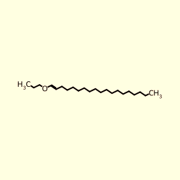 CCCCCCCCCCCCCCCCCC=COCCC